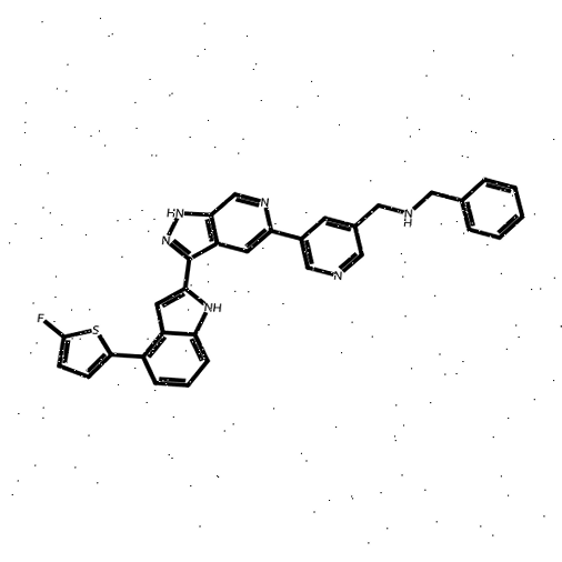 Fc1ccc(-c2cccc3[nH]c(-c4n[nH]c5cnc(-c6cncc(CNCc7ccccc7)c6)cc45)cc23)s1